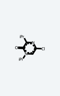 CC(C)c1nc(Cl)cn(C(C)C)c1=O